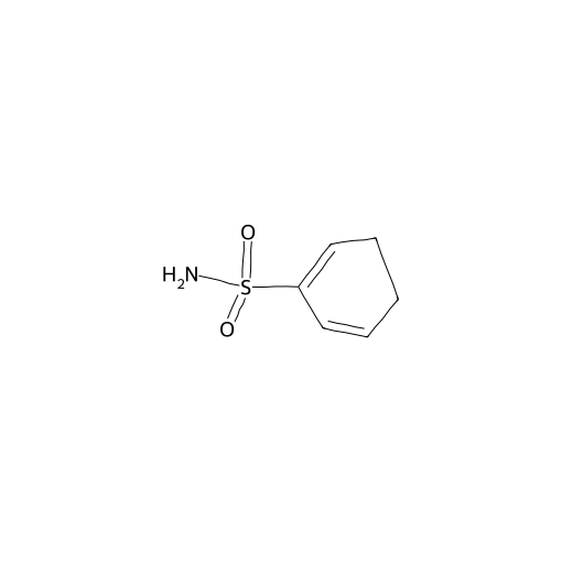 NS(=O)(=O)C1=CCCC=C1